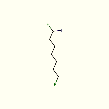 FCCCCCCC(F)I